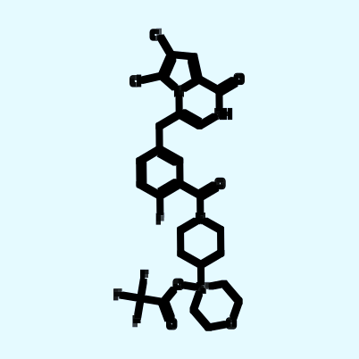 O=C(c1cc(Cc2c[nH]c(=O)c3cc(Cl)c(Cl)n23)ccc1F)N1CCC([N+]2(OC(=O)C(F)(F)F)CCOCC2)CC1